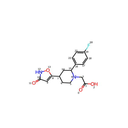 O=C(O)CN1CCC(c2cc(=O)[nH]o2)CC1c1ccc(F)cc1